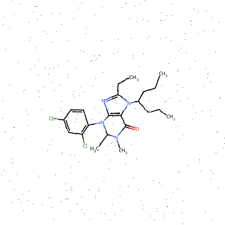 CCCC(CCC)n1c(CC)nc2c1C(=O)N(C)C(C)N2c1ccc(Cl)cc1Cl